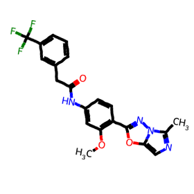 COc1cc(NC(=O)Cc2cccc(C(F)(F)F)c2)ccc1-c1nn2c(C)ncc2o1